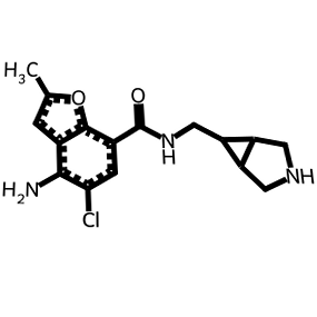 Cc1cc2c(N)c(Cl)cc(C(=O)NCC3C4CNCC43)c2o1